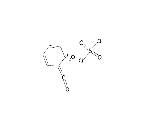 O.O=C=C1C=CC=CC1.O=S(=O)(Cl)Cl